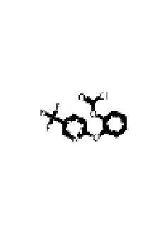 O=C(Cl)Oc1ccccc1Oc1ccc(C(F)(F)F)cn1